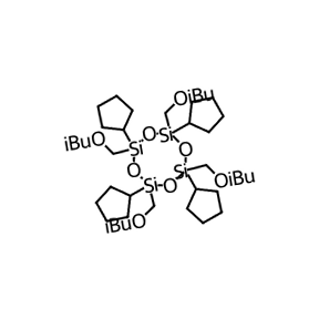 CC(C)COC[Si]1(C2CCCC2)O[Si](COCC(C)C)(C2CCCC2)O[Si](COCC(C)C)(C2CCCC2)O[Si](COCC(C)C)(C2CCCC2)O1